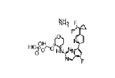 N.N.O=P(O)(O)OCO[C@@H]1COCC[C@H]1Nc1ncc2c(F)cc(-c3ccc(C4(C(F)F)CC4)cn3)n2n1